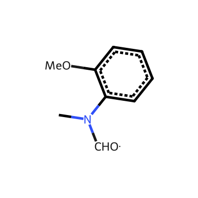 COc1ccccc1N(C)[C]=O